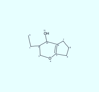 CCC1COC2=C(CCC2)C1O